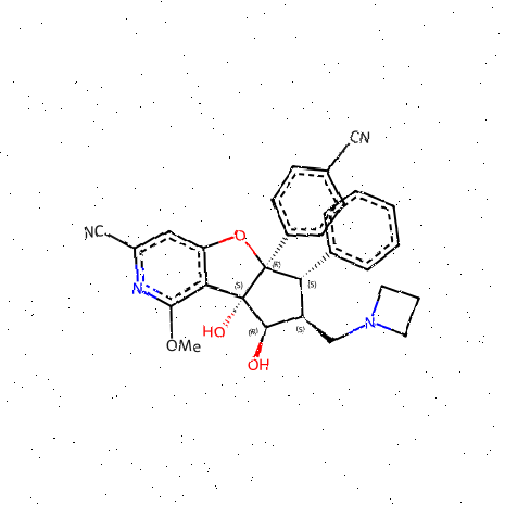 COc1nc(C#N)cc2c1[C@]1(O)[C@H](O)[C@H](CN3CCC3)[C@@H](c3ccccc3)[C@]1(c1ccc(C#N)cc1)O2